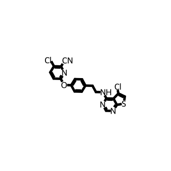 N#Cc1nc(Oc2ccc(CCNc3ncnc4scc(Cl)c34)cc2)ccc1Cl